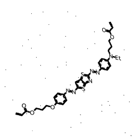 C=CC(=O)OCCCOc1ccc(N=Nc2cc3sc(N=Nc4ccc(N(CC)CCCOC(=O)C=C)cc4)nc3s2)cc1